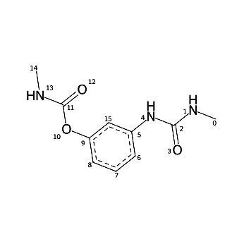 CNC(=O)Nc1cccc(OC(=O)NC)c1